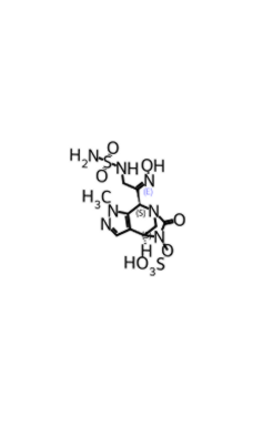 Cn1ncc2c1[C@@H](/C(CNS(N)(=O)=O)=N/O)N1C[C@H]2N(OS(=O)(=O)O)C1=O